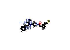 Nc1nccn2c(C3CCN(C(=O)Cc4cccc(CC=S)c4)CC3)nc(-c3cc4ccccc4[nH]3)c12